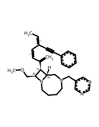 C=C(/C=C\C(C#Cc1ccccc1)=C/C)[C@@H]1[C@H](COC)N2CCCCN(Cc3cncnc3)C[C@@H]12